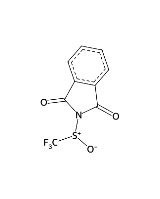 O=C1c2ccccc2C(=O)N1[S+]([O-])C(F)(F)F